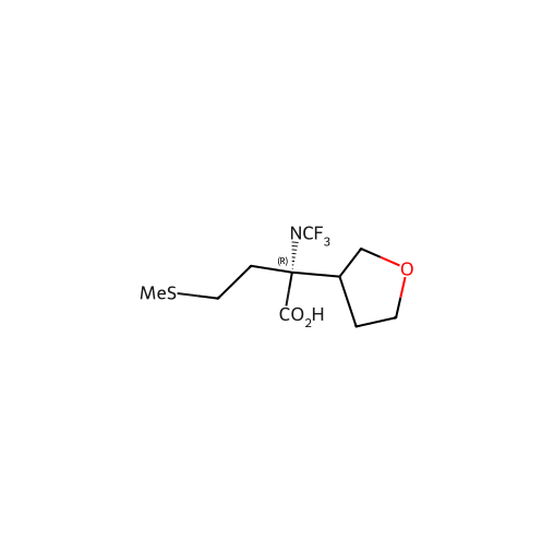 CSCC[C@](NC(F)(F)F)(C(=O)O)C1CCOC1